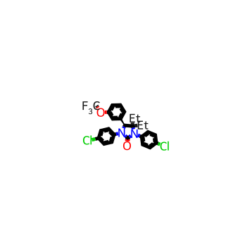 CCC1(CC)[C@H](c2cccc(OC(F)(F)F)c2)N(c2ccc(Cl)cc2)C(=O)N1c1ccc(Cl)cc1